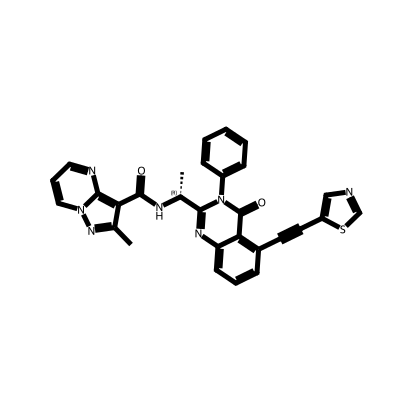 Cc1nn2cccnc2c1C(=O)N[C@H](C)c1nc2cccc(C#Cc3cncs3)c2c(=O)n1-c1ccccc1